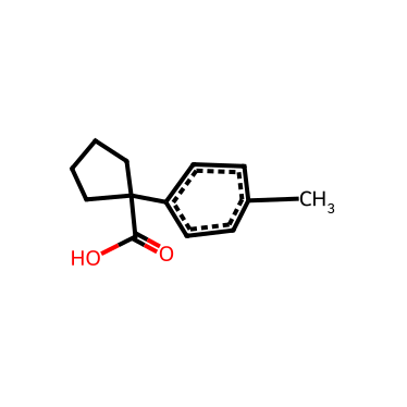 Cc1ccc(C2(C(=O)O)CCCC2)cc1